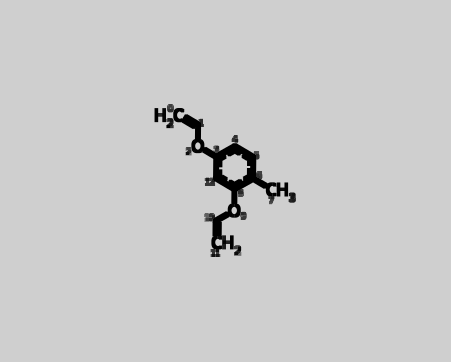 C=COc1ccc(C)c(OC=C)c1